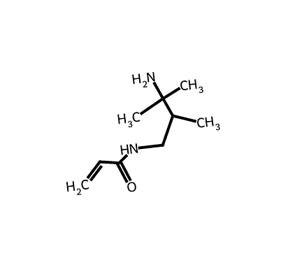 C=CC(=O)NCC(C)C(C)(C)N